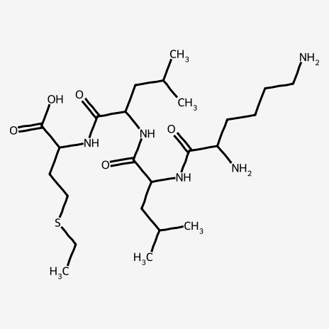 CCSCCC(NC(=O)C(CC(C)C)NC(=O)C(CC(C)C)NC(=O)C(N)CCCCN)C(=O)O